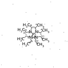 CCN(CC)[PH](N(CC)CC)(N(CC)CC)N(CC)CC